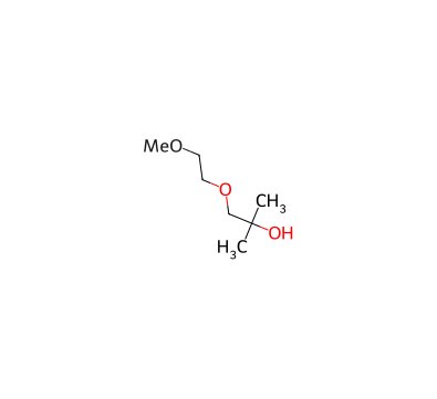 COCCOCC(C)(C)O